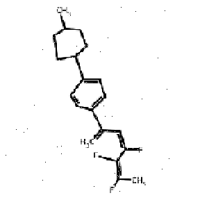 C=C(/C=C(F)\C(F)=C(/C)F)c1ccc(C2CCC(C)CC2)cc1